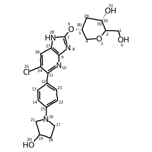 OCC1OC[C@H](Oc2nc3nc(-c4ccc(N5CCC(O)C5)cc4)c(Cl)cc3[nH]2)C[C@@H]1O